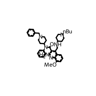 CCCCN1CCC(NCc2c(C(=O)N(c3ccccc3)C3CCN(Cc4ccccc4)CC3)c(N)nc3c(OC)cccc23)CC1